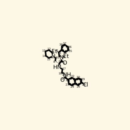 CC[C@@H](CN(CC)C(=O)[C@@H](CCN1CCCCC1)NCCNC(=O)c1ccc2cc(Cl)ccc2c1)c1ccccc1